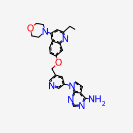 CCc1cc(N2CCOCC2)c2ccc(OCc3cncc(-n4ccc5c(N)ncnc54)c3)cc2n1